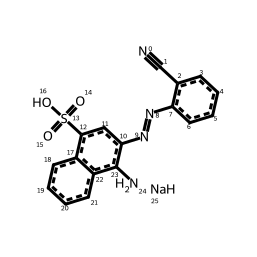 N#Cc1ccccc1N=Nc1cc(S(=O)(=O)O)c2ccccc2c1N.[NaH]